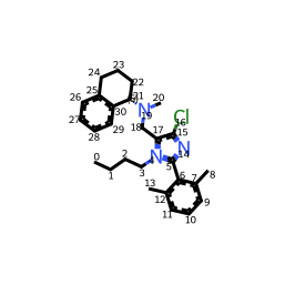 CCCCn1c(-c2c(C)cccc2C)nc(Cl)c1CN(C)[C@H]1CCCc2ccccc21